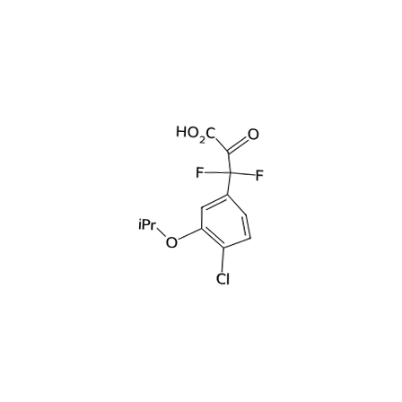 CC(C)Oc1cc(C(F)(F)C(=O)C(=O)O)ccc1Cl